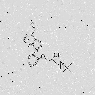 CC(C)(C)NCC(O)COc1ccccc1-n1ccc2c(C=O)cccc21